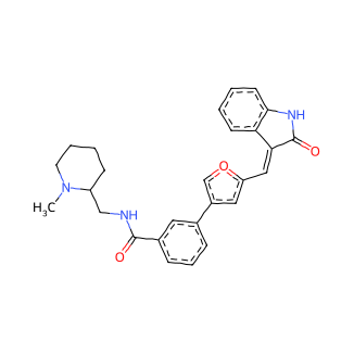 CN1CCCCC1CNC(=O)c1cccc(-c2coc(/C=C3/C(=O)Nc4ccccc43)c2)c1